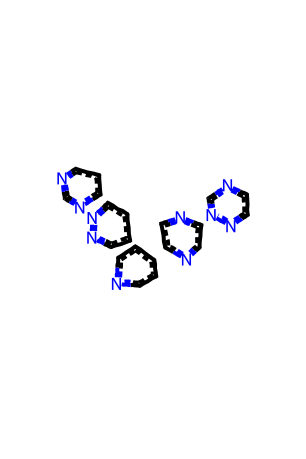 c1ccncc1.c1ccnnc1.c1cnccn1.c1cncnc1.c1cnncn1